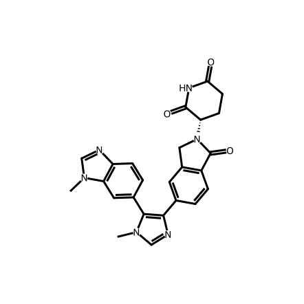 Cn1cnc(-c2ccc3c(c2)CN([C@H]2CCC(=O)NC2=O)C3=O)c1-c1ccc2ncn(C)c2c1